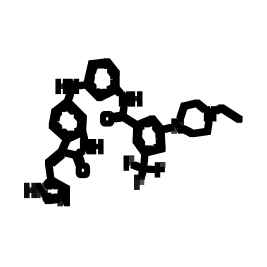 CCN1CCN(c2cc(C(=O)Nc3cccc(Nc4ccc5c(c4)NC(=O)/C5=C\c4cnc[nH]4)c3)cc(C(F)(F)F)c2)CC1